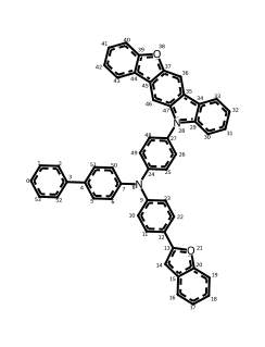 c1ccc(-c2ccc(N(c3ccc(-c4cc5ccccc5o4)cc3)c3ccc(-n4c5ccccc5c5cc6oc7ccccc7c6cc54)cc3)cc2)cc1